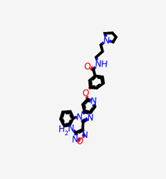 Nc1nonc1-c1nc2cnc(Oc3cccc(C(=O)NCCCN4CCCC4)c3)cc2n1-c1ccccc1